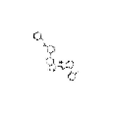 Fc1ccccc1-c1cccc2[nH]c(-c3n[nH]c4cnc(-c5cncc(OCc6ccccc6)c5)cc34)nc12